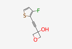 OC1(C#Cc2sccc2F)COC1